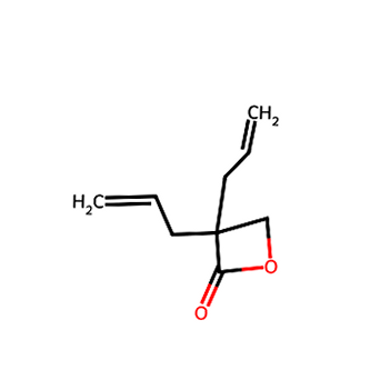 C=CCC1(CC=C)COC1=O